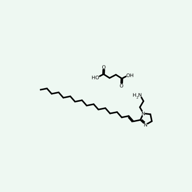 CCCCCCCCCCCCCCCC=CC1=NCCN1CCN.O=C(O)CCC(=O)O